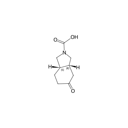 O=C1CC[C@@H]2CN(C(=O)O)C[C@@H]2C1